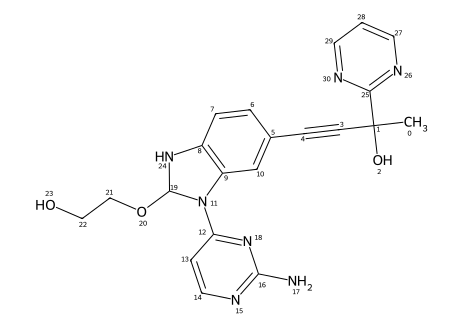 CC(O)(C#Cc1ccc2c(c1)N(c1ccnc(N)n1)C(OCCO)N2)c1ncccn1